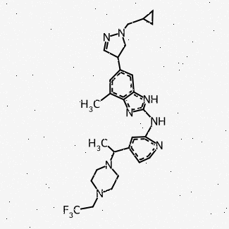 Cc1cc(C2C=NN(CC3CC3)C2)cc2[nH]c(Nc3cc(C(C)N4CCN(CC(F)(F)F)CC4)ccn3)nc12